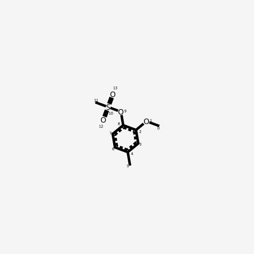 COc1cc(C)ccc1OS(C)(=O)=O